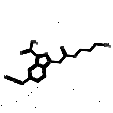 CCCCOC(=O)Cn1nc(C(C)=O)c2cc(N=C=O)ccc21